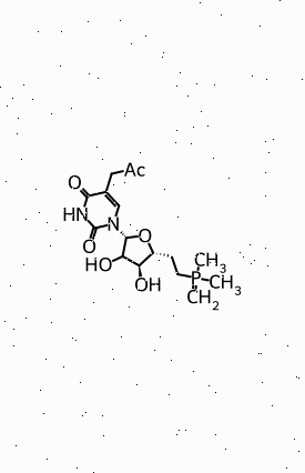 C=P(C)(C)CC[C@H]1O[C@@H](n2cc(CC(C)=O)c(=O)[nH]c2=O)C(O)[C@@H]1O